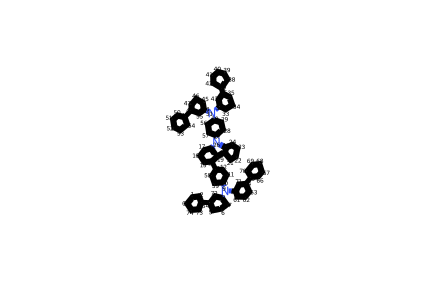 c1ccc(-c2cccc(N(c3ccc(-c4cccc5c4c4ccccc4n5-c4ccc(N(c5cccc(-c6ccccc6)c5)c5cccc(-c6ccccc6)c5)cc4)cc3)c3cccc(-c4ccccc4)c3)c2)cc1